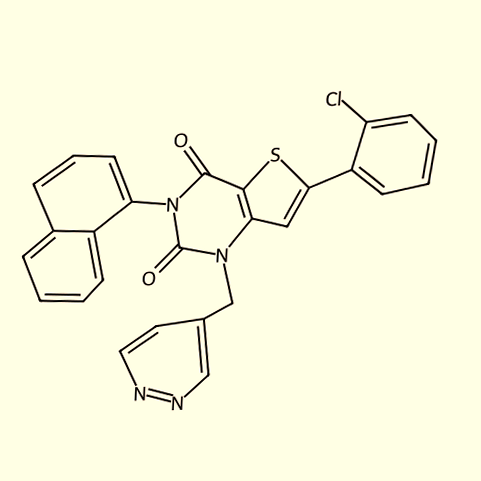 O=c1c2sc(-c3ccccc3Cl)cc2n(Cc2ccnnc2)c(=O)n1-c1cccc2ccccc12